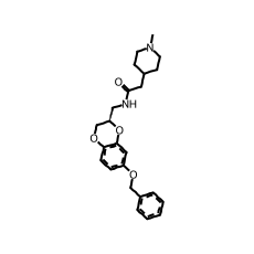 CN1CCC(CC(=O)NC[C@@H]2COc3ccc(OCc4ccccc4)cc3O2)CC1